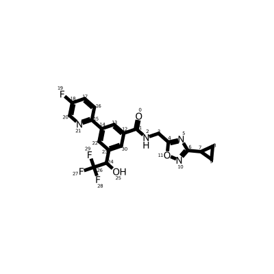 O=C(NCc1nc(C2CC2)no1)c1cc(-c2ccc(F)cn2)cc(C(O)C(F)(F)F)c1